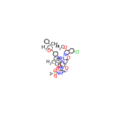 COc1cnc(O[C@@H]2C[C@@H](C(=O)N[C@]3(C(=O)NS(=O)(=O)C4CC4)C[C@H]3I)N(C(=O)C(Nc3ccc(C(=O)CC(C)(C)c4ccccc4)cc3)C(C)(C)C)C2)c2cc(Cl)ccc12